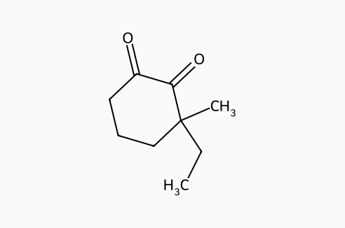 CCC1(C)CCCC(=O)C1=O